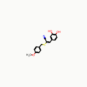 COc1ccc(CS/C(C#N)=C/c2ccc(O)c(O)c2)cc1